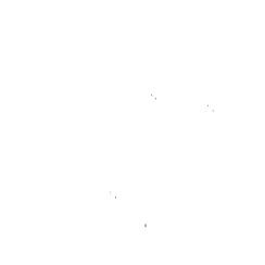 CCCC(=O)[N+]#Cc1ccccc1-c1ccc(CNc2c(C(=O)O)sc(C)c2C#N)cc1